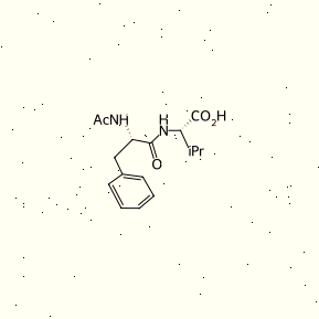 CC(=O)N[C@@H](Cc1ccccc1)C(=O)N[C@H](C(=O)O)C(C)C